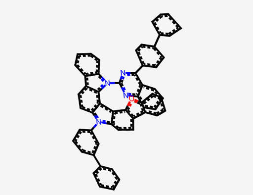 c1ccc(-c2ccc(-c3nc(-n4c5ccccc5c5ccc6c(c7c8oc9ccccc9c8ccc7n6-c6cccc(-c7ccccc7)c6)c54)nc4ccccc34)cc2)cc1